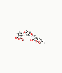 C=CC1=C(/C=C/Oc2ccc(Oc3ccc4c(c3)C(=O)OC4=O)cc2)C(=O)OC1=O